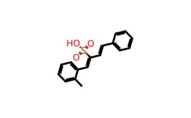 Cc1ccccc1C=C(C=Cc1ccccc1)S(=O)(=O)O